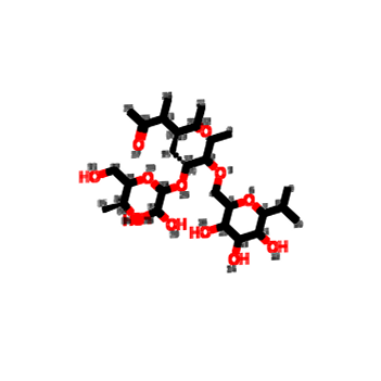 CCC(OCC1OC(C(C)C)C(O)C(O)C1O)[C@@H](C[C@H](C(C)=O)C(C)C(C)=O)OC(OC(CO)[C@H](C)O)C(O)O